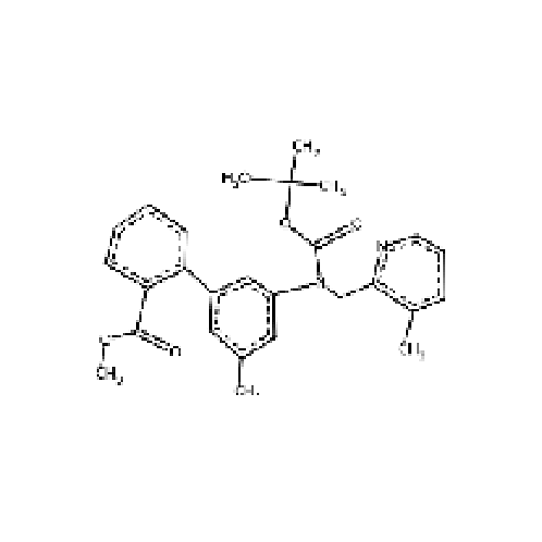 COC(=O)c1ccccc1-c1cc(C)cc(N(Cc2ncccc2C)C(=O)OC(C)(C)C)c1